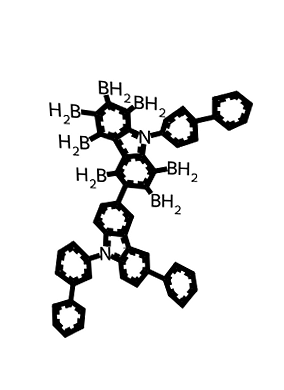 Bc1c(B)c(B)c2c(c1B)c1c(B)c(-c3ccc4c(c3)c3cc(-c5ccccc5)ccc3n4-c3cccc(-c4ccccc4)c3)c(B)c(B)c1n2-c1ccc(-c2ccccc2)cc1